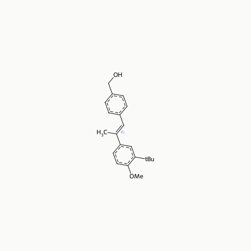 COc1ccc(/C(C)=C/c2ccc(CO)cc2)cc1C(C)(C)C